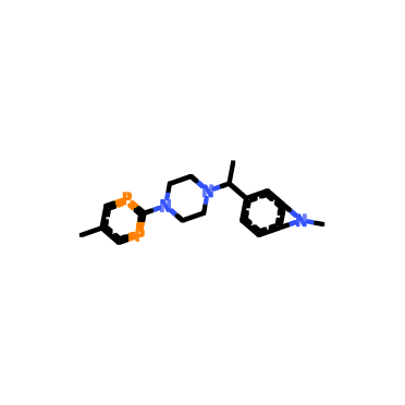 Cc1cpc(N2CCN(C(C)c3ccc4c(c3)N4C)CC2)pc1